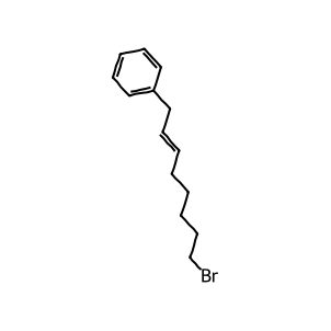 BrCCCCC/C=C/Cc1ccccc1